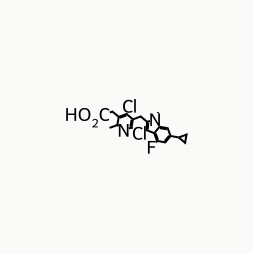 Cc1nc(Cl)c(Cc2cc3c(F)cc(C4CC4)cc3n2C)c(Cl)c1CC(=O)O